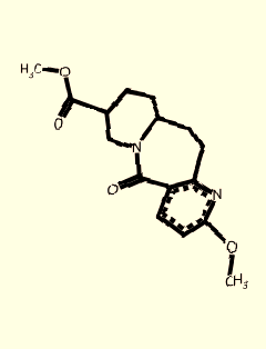 COC(=O)C1CCC2CCc3nc(OC)ccc3C(=O)N2C1